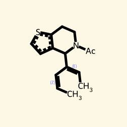 C/C=C\C(=C/C)C1c2ccsc2CCN1C(C)=O